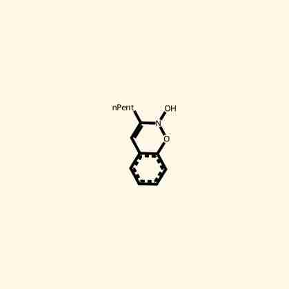 CCCCCC1=Cc2ccccc2ON1O